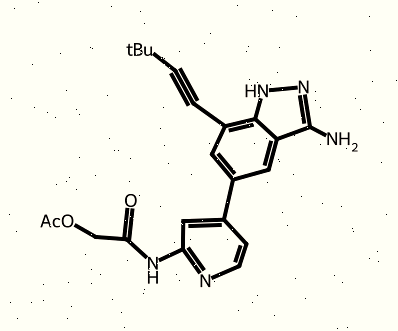 CC(=O)OCC(=O)Nc1cc(-c2cc(C#CC(C)(C)C)c3[nH]nc(N)c3c2)ccn1